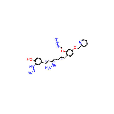 [N-]=[N+]=NCOc1cc(OCc2ccccn2)ccc1/C=C/C/C=C(/C=C/c1ccc(O)c(NN=N)c1)NN